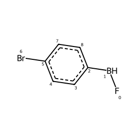 FBc1ccc(Br)cc1